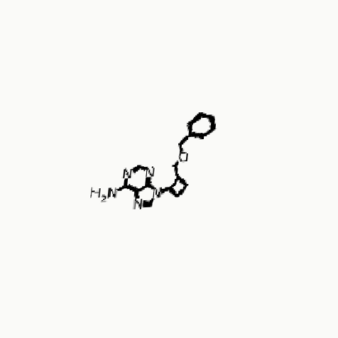 Nc1ncnc2c1ncn2C1CCC1COCc1ccccc1